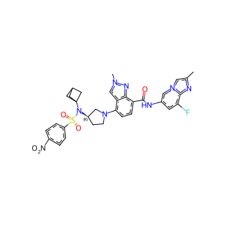 Cc1cn2cc(NC(=O)c3ccc(N4CC[C@@H](N(C56CC(C5)C6)S(=O)(=O)c5ccc([N+](=O)[O-])cc5)C4)c4cn(C)nc34)cc(F)c2n1